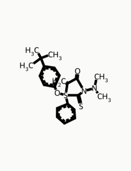 C=C1C(=O)N(N(C)C)C(=S)S1(Oc1ccc(C(C)(C)C)cc1)c1ccccc1